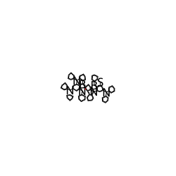 c1ccc(N(c2ccccc2)c2cc3c4c(c2)N(c2ccccc2)c2c(cc5c6c2c2ccccc2n6-c2cc(N(c6ccccc6)c6ccccc6)cc6c2B5c2ccccc2S6)B4c2ccccc2N3c2ccccc2)cc1